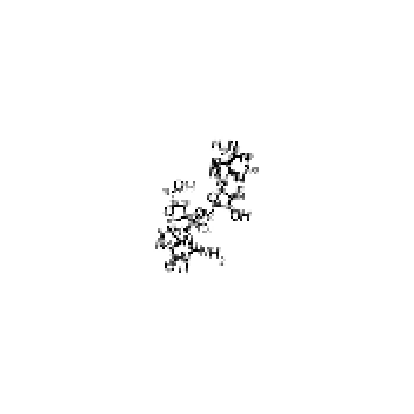 Nc1nc2c(ncn2[C@@H]2O[C@H](CO)C[C@H]2P(=O)(S)OC[C@H]2O[C@@H](n3nnc4c(N)ncnc43)[C@@H](F)[C@@H]2O)c(=O)[nH]1